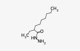 CCCCCCCC(CC)C(=O)NN